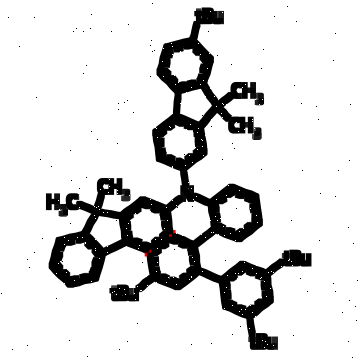 CC(C)(C)c1cc(-c2cc(C(C)(C)C)ccc2-c2ccccc2N(c2ccc3c(c2)C(C)(C)c2ccccc2-3)c2ccc3c(c2)C(C)(C)c2cc(C(C)(C)C)ccc2-3)cc(C(C)(C)C)c1